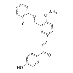 COc1ccc(/C=C/C(=O)c2ccc(O)cc2)cc1COc1ccccc1Cl